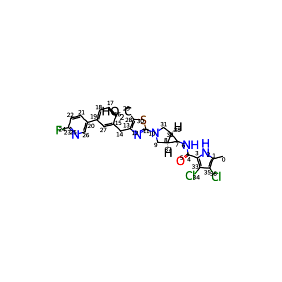 Cc1[nH]c(C(=O)NC2[C@H]3CN(c4nc(Cc5cccc(-c6ccc(F)nc6)c5)c(C(=O)O)s4)C[C@@H]23)c(Cl)c1Cl